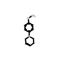 COc1ccc(N2C[C]=CCC2)cc1